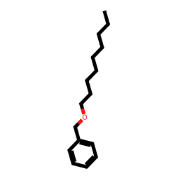 [CH2]CCCCCCCCOCc1ccccc1